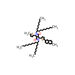 CCCCCCCCCCC(CCCCCCCC)CN1C(=O)C2=C(c3ccc(-c4ccc5cc(C)ccc5c4)s3)N(CC(CCCCCCCC)CCCCCCCCCC)C(=O)C2=C1c1ccc(C)s1